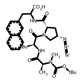 C[C@@H](C(=O)N[C@H](C(=O)N1C[C@@H](N=[N+]=[N-])C[C@H]1C(=O)NC(Cc1ccc2ccccc2c1)C(=O)O)C(C)(C)C)N(C)C(=O)OC(C)(C)C